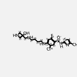 Cc1csc(N[S+]([O-])C2=C(F)C=C(NCCCCNCC3(O)CNC3)C(Cl)C2)n1